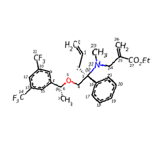 C=CC[C@@](CO[C@H](C)c1cc(C(F)(F)F)cc(C(F)(F)F)c1)(c1ccccc1)N(C)CC(=C)C(=O)OCC